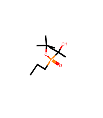 CCCP(=O)(OC(C)(C)C)C(C)(C)O